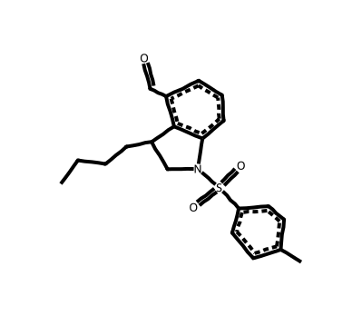 CCCCC1CN(S(=O)(=O)c2ccc(C)cc2)c2cccc(C=O)c21